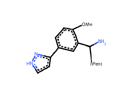 CCCCCC(N)c1cc(-c2cc[nH]n2)ccc1OC